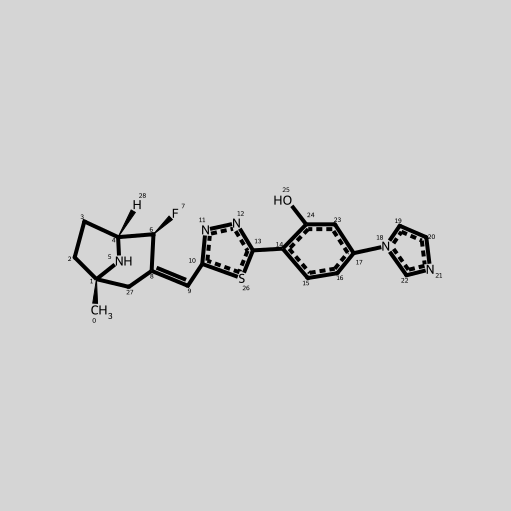 C[C@@]12CC[C@@H](N1)[C@@H](F)/C(=C\c1nnc(-c3ccc(-n4ccnc4)cc3O)s1)C2